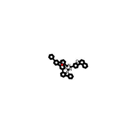 c1ccc(-c2ccc3c(c2)oc2ccc(-c4cccc5c6ccccc6n(-c6nc(-c7ccccc7)nc(-c7ccc8c(c7)oc7ccc9ccccc9c78)n6)c45)cc23)cc1